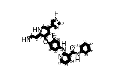 N=C/C=C1\NC=C(c2c[nH]cn2)C=C1Oc1ccc(Nc2ncccc2C(=O)Nc2ccccc2)cc1F